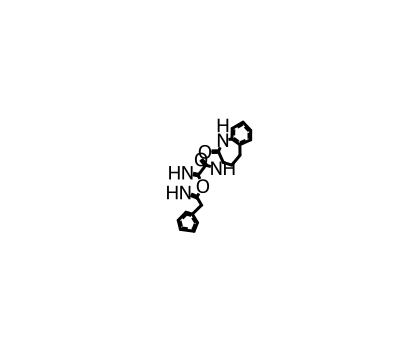 N=C(Cc1ccccc1)OC(=N)C(=O)N[C@H]1CCc2ccccc2NC1=O